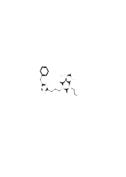 CCCn1c(=O)n(CCCc2noc(Cc3ccccc3)n2)c(=O)c2[nH]c(Cl)nc21